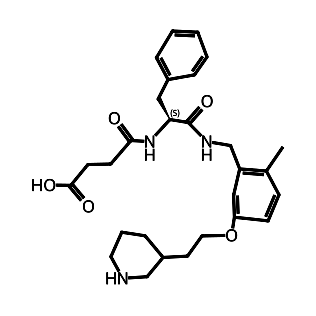 Cc1ccc(OCCC2CCCNC2)cc1CNC(=O)[C@H](Cc1ccccc1)NC(=O)CCC(=O)O